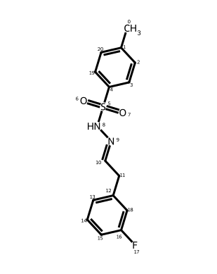 Cc1ccc(S(=O)(=O)N/N=C/Cc2cccc(F)c2)cc1